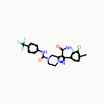 Cc1ccc(-c2nn3c(c2C(N)=O)CN(C(=O)Nc2ccc(C(F)(F)F)cc2)CC3)cc1Cl